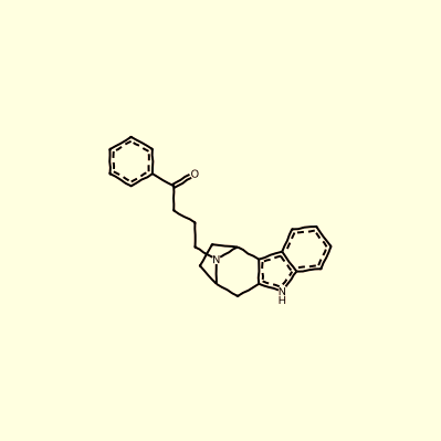 O=C(CCCN1C2CCC1c1c([nH]c3ccccc13)C2)c1ccccc1